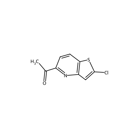 CC(=O)c1ccc2sc(Cl)cc2n1